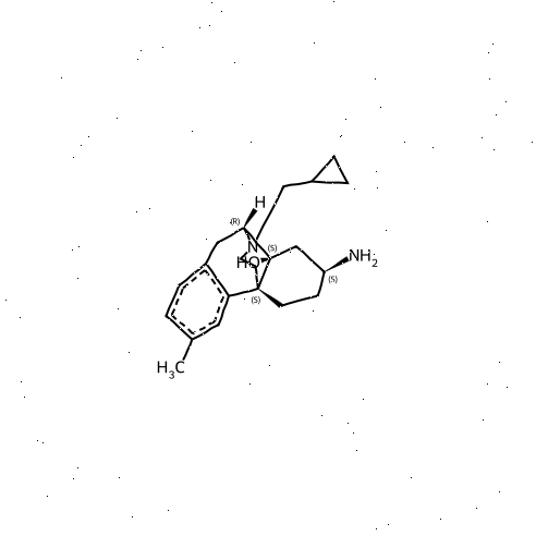 Cc1ccc2c(c1)[C@@]13CC[C@H](N)C[C@@]1(O)[C@@H](C2)N(CC1CC1)CC3